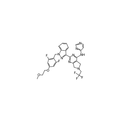 COCCOc1cc(F)c(Cn2nc(-c3nc4c(c(Nc5ccncn5)n3)CN(CC(F)(F)F)C4)c3ccccc32)c(F)c1